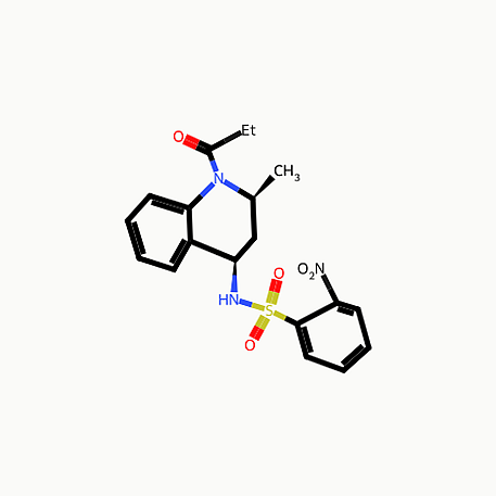 CCC(=O)N1c2ccccc2[C@H](NS(=O)(=O)c2ccccc2[N+](=O)[O-])C[C@@H]1C